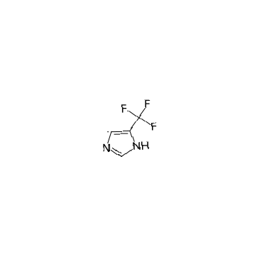 FC(F)(F)c1[c]nc[nH]1